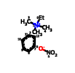 CC[N+](C)(C)C.O=[N+]([O-])[O-].c1ccccc1